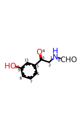 O=CNCC(=O)c1cccc(O)c1